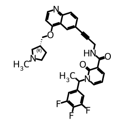 CC(c1cc(F)c(F)c(F)c1)n1cccc(C(=O)NCC#Cc2ccc3nccc(OC[C@@H]4CCN(C)C4)c3c2)c1=O